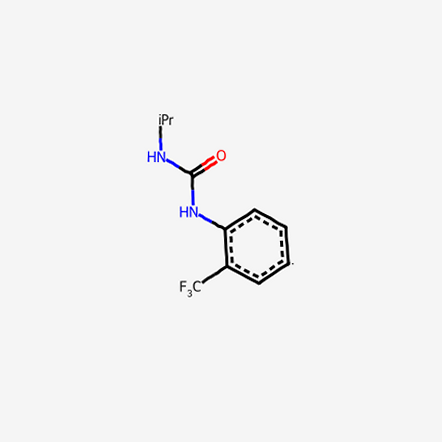 CC(C)NC(=O)Nc1cc[c]cc1C(F)(F)F